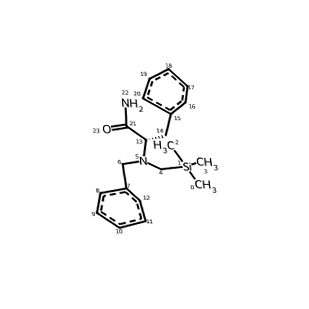 C[Si](C)(C)CN(Cc1ccccc1)[C@@H](Cc1ccccc1)C(N)=O